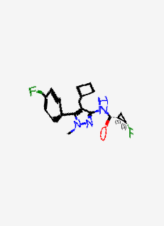 Cn1nc(NC(=O)[C@@H]2C[C@@H]2F)c(C2CCC2)c1-c1ccc(F)cc1